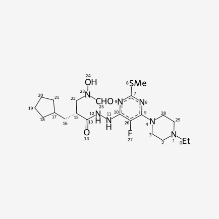 CCN1CCN(c2nc(SC)nc(NNC(=O)[C@H](CC3CCCC3)CN(O)C=O)c2F)CC1